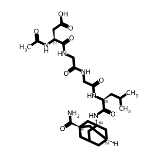 CC(=O)N[C@@H](CC(=O)O)C(=O)NCC(=O)NCC(=O)N[C@@H](CC(C)C)C(=O)N[C@@]12CC3C[C@H](C1)C[C@](C(N)=O)(C3)C2